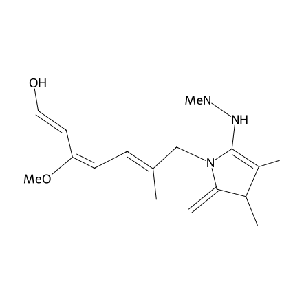 C=C1C(C)C(C)=C(NNC)N1C/C(C)=C/C=C(\C=C\O)OC